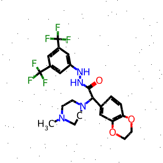 CN1CCN(C(C(=O)NNc2cc(C(F)(F)F)cc(C(F)(F)F)c2)c2ccc3c(c2)OCCO3)CC1